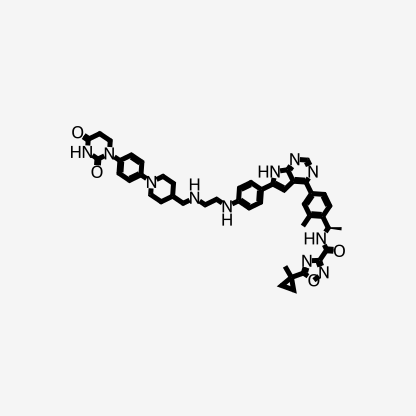 Cc1cc(-c2ncnc3[nH]c(-c4ccc(NCCNCC5CCN(c6ccc(N7CCC(=O)NC7=O)cc6)CC5)cc4)cc23)ccc1[C@@H](C)NC(=O)c1noc(C2(C)CC2)n1